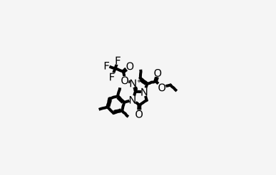 CCOC(=O)c1c(C)[n+](OC(=O)C(F)(F)F)c2n1CC(=O)N2c1c(C)cc(C)cc1C